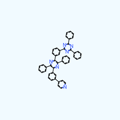 c1ccc(-c2nc(-c3ccccc3)nc(-c3cccc(-c4nc(-c5ccccc5)c(-c5cccc(-c6ccncc6)c5)nc4-c4ccccc4)c3)n2)cc1